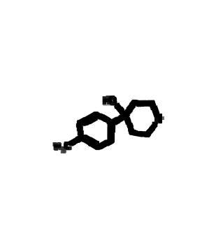 Cc1ccc(C2(O)CC[N]CC2)cc1